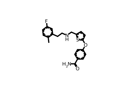 Cc1ccc(F)cc1CCNCc1ccc(Oc2ccc(C(N)=O)cc2)s1